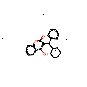 O=c1oc2ccccc2c(O)c1C(c1ccccc1)C1CCCCC1